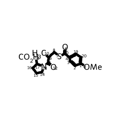 COc1ccc(C(=O)SCC(C)C(=O)N2CCCC2C(=O)O)cc1